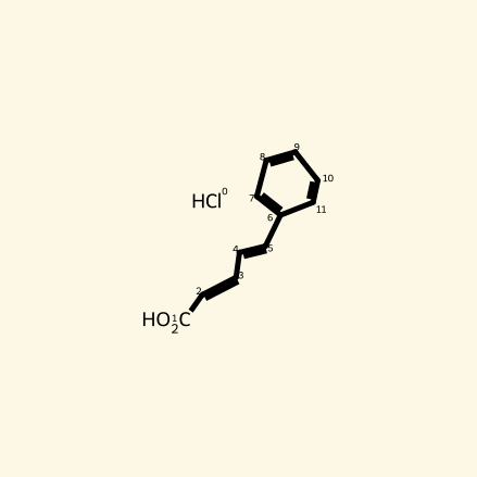 Cl.O=C(O)C=CC=Cc1ccccc1